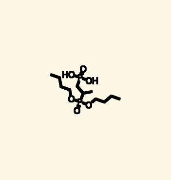 CCCCOP(=O)(OCCCC)C(C)CP(=O)(O)O